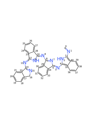 C=Nc1[nH]c(/N=C2N=C(/N=C3\N/C(=N\C4=NCc5ccccc54)c4ccccc43)c3ccccc3\2)c2ccccc12